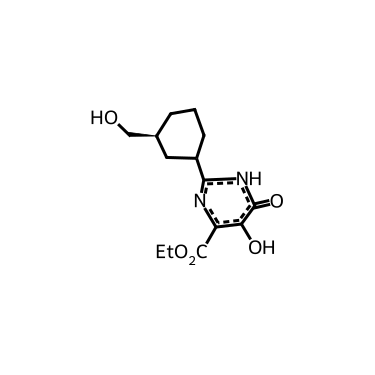 CCOC(=O)c1nc(C2CCC[C@H](CO)C2)[nH]c(=O)c1O